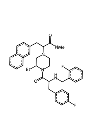 CCC1CN(C(Cc2ccc3ccccc3c2)C(=O)NC)CCN1C(=O)C(Cc1ccc(F)cc1)NCc1ccccc1F